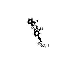 CCn1c(CN2C(=O)c3ccccc3C2=O)nc2ccc(C#CCNC(=O)O)cc21